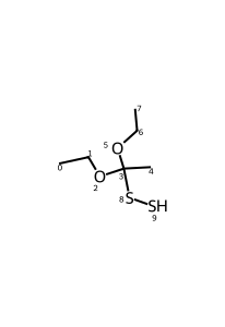 CCOC(C)(OCC)SS